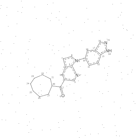 O=C(c1cnc2c(ccn2-c2ccc3[nH]ncc3c2)c1)C1CCCCCCC1